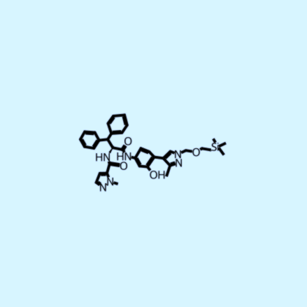 Cc1nn(COCC[Si](C)(C)C)cc1-c1ccc(NC(=O)[C@@H](NC(=O)c2ccnn2C)C(c2ccccc2)c2ccccc2)cc1O